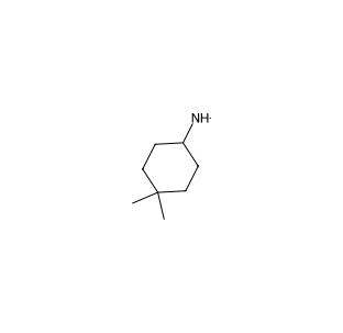 CC1(C)CCC([NH])CC1